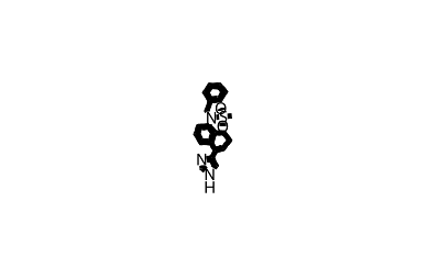 CS(=O)(=O)N(Cc1ccccc1)c1cccc2c1CCC=C2c1c[nH]cn1